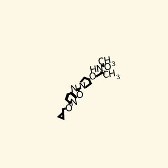 CC(=O)N[C@@H](C)COC1CCN(c2nc3ccc(OCC4CC4)nc3o2)CC1